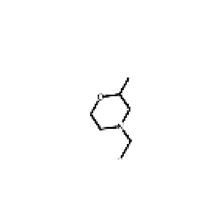 [CH2]CN1CCOC(C)C1